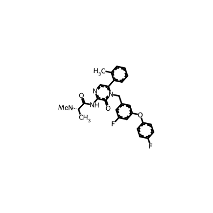 CN[C@@H](C)C(=O)Nc1ncc(-c2ccccc2C)n(Cc2cc(F)cc(Oc3ccc(F)cc3)c2)c1=O